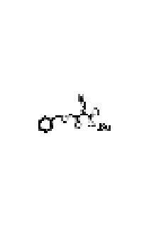 CC(C)(C)OC(=O)C(=[N+]=[N-])C(=O)COCc1ccccc1